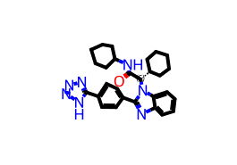 O=C(NC1CCCCC1)[C@H](C1CCCCC1)n1c(-c2ccc(-c3nnn[nH]3)cc2)nc2ccccc21